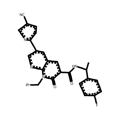 CC(C)Cn1c(=O)c(C(=O)NC(C)c2ccc(F)cc2)cc2cc(-c3ccc(C#N)cn3)cnc21